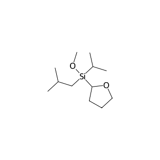 CO[Si](CC(C)C)(C(C)C)C1CCCO1